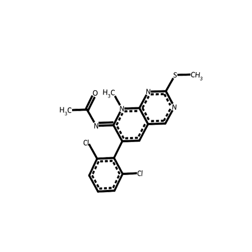 CSc1ncc2cc(-c3c(Cl)cccc3Cl)c(=NC(C)=O)n(C)c2n1